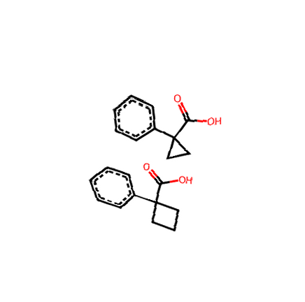 O=C(O)C1(c2ccccc2)CC1.O=C(O)C1(c2ccccc2)CCC1